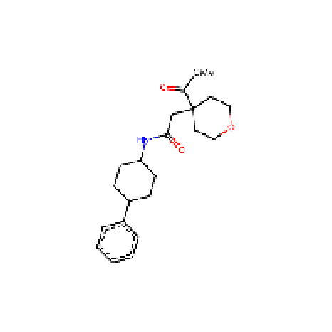 COC(=O)C1(CC(=O)NC2CCC(c3ccccc3)CC2)CCOCC1